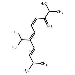 CC(C)/C=C/C(=C/C=C\C(=N)C(C)C)C(C)C